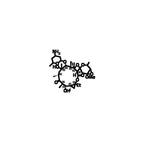 CC[C@@]12C[C@@]1(C)[C@H](O)[C@@H](C)C(=O)[C@H](C)C[C@](C)(O)[C@H](OC1CC(N)CC(C)O1)[C@@H](C)[C@@H]1OC3(CC4(OC)OC4C(C)O3)[C@H]1C(=O)O2